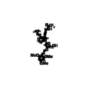 COc1cc(OC)c(CSCO[C@H]2C[C@H](n3cc(C#CCNC(=O)C(F)(F)F)c4c(/N=C/N(C)C)ncnc43)O[C@@H]2CO)c(OC)c1